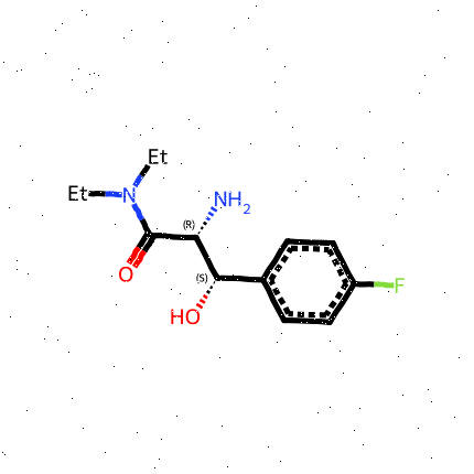 CCN(CC)C(=O)[C@H](N)[C@@H](O)c1ccc(F)cc1